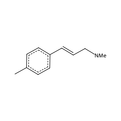 CNC/C=C/c1ccc(C)cc1